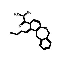 CN(C)C(=O)C1C=CC2=C(Cc3ccccc3CO2)C1=CCCBr